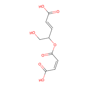 O=C(O)C=CC(CO)OC(=O)/C=C\C(=O)O